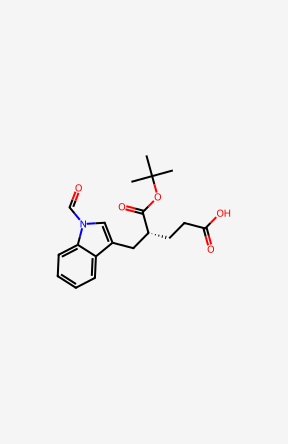 CC(C)(C)OC(=O)[C@H](CCC(=O)O)Cc1cn(C=O)c2ccccc12